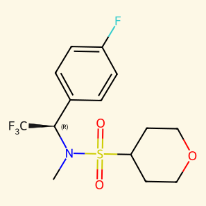 CN([C@H](c1ccc(F)cc1)C(F)(F)F)S(=O)(=O)C1CCOCC1